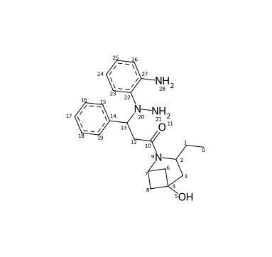 CCC1CC2(O)CC(C2)N1C(=O)CC(c1ccccc1)N(N)c1ccccc1N